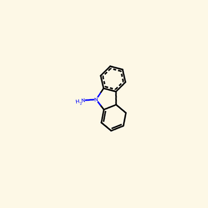 NN1C2=CC=CCC2c2ccccc21